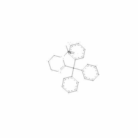 COC(=O)N1CCCN=C1C(c1ccccc1)(c1ccccc1)c1ccccc1